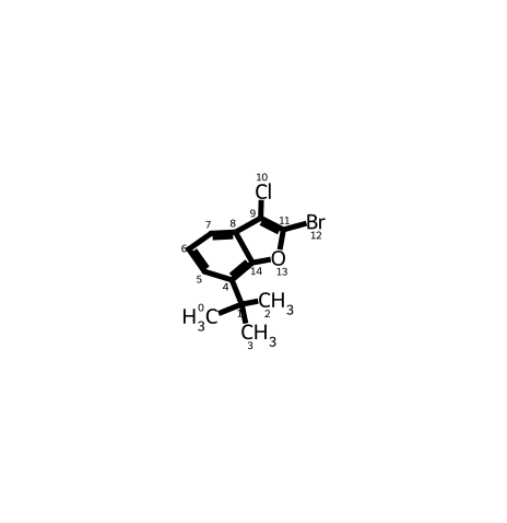 CC(C)(C)c1cccc2c(Cl)c(Br)oc12